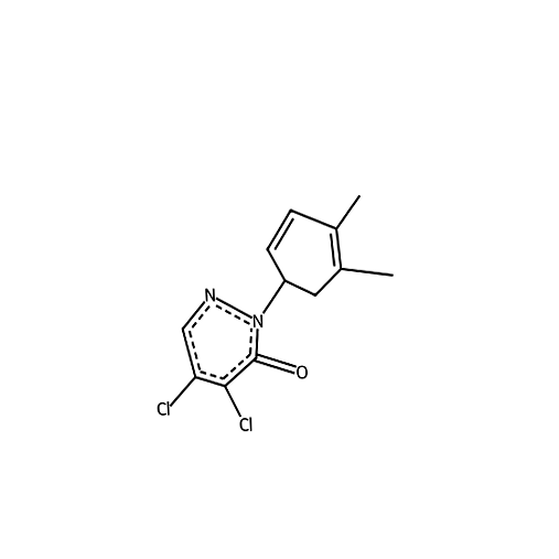 CC1=C(C)CC(n2ncc(Cl)c(Cl)c2=O)C=C1